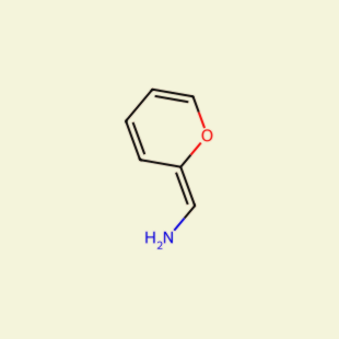 NC=C1C=CC=CO1